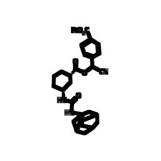 CCOC(=O)c1ccc(C(C#N)OC(=O)[C@H]2CCC[C@@H](NC(=O)NC34CC5CC(CC(C5)C3)C4)C2)cc1